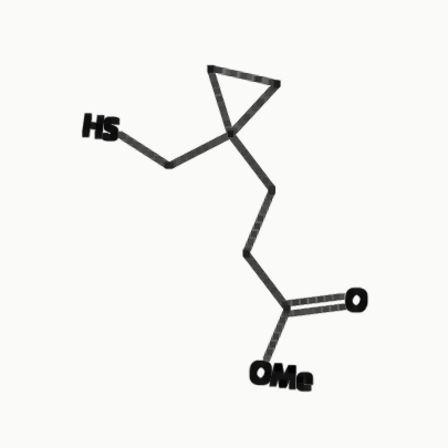 COC(=O)CCC1(CS)CC1